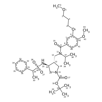 COCCCOc1cc(C(=O)N(C[C@@H]2CN(C(=O)OC(C)(C)C)C[C@H]2NS(=O)(=O)C(C)c2ccccc2)C(C)C)ccc1OC